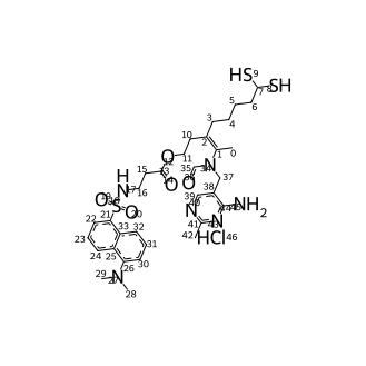 CC(=C(CCCCC(S)S)CCOC(=O)CCNS(=O)(=O)c1cccc2c(N(C)C)cccc12)N(C=O)Cc1cnc(C)nc1N.Cl